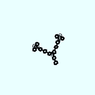 c1ccc(-c2ccc(-n3c4ccc(-c5ccc(-c6ccc(N7c8ccccc8Oc8ccccc87)cc6)cc5)cc4c4cc(-c5ccc(-c6ccc(N7c8ccccc8Oc8ccccc87)cc6)cc5)ccc43)cc2)cc1